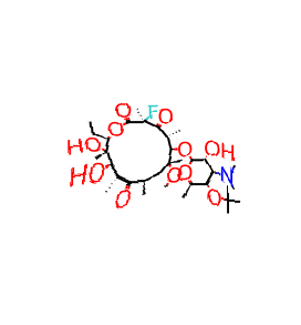 CC[C@H]1OC(=O)[C@@](C)(F)C(=O)[C@H](C)[C@@H](O[C@@H]2O[C@H](C)[C@@H](OC(C)(C)C)[C@H](N(C)C)[C@H]2O)[C@](C)(OC)C[C@@H](C)C(=O)[C@H](C)[C@@H](O)[C@]1(C)O